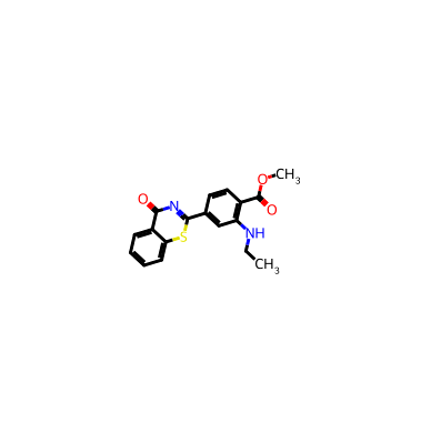 CCNc1cc(-c2nc(=O)c3ccccc3s2)ccc1C(=O)OC